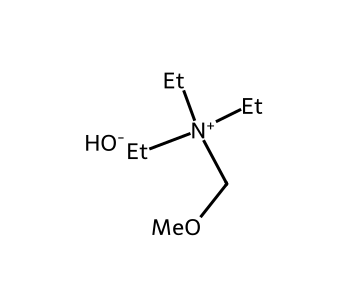 CC[N+](CC)(CC)COC.[OH-]